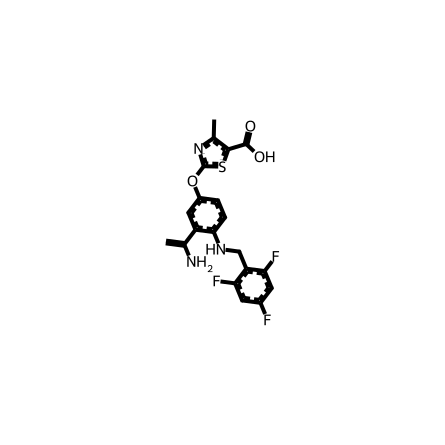 C=C(N)c1cc(Oc2nc(C)c(C(=O)O)s2)ccc1NCc1c(F)cc(F)cc1F